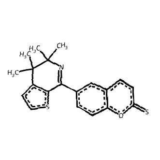 CC1(C)N=C(c2ccc3oc(=S)ccc3c2)c2sccc2C1(C)C